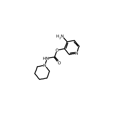 Nc1ccncc1OC(=O)NN1CCCCC1